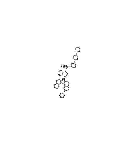 C1=CC2=C(C3N[C@@H]3c3cccc(-c4ccc(C5=CCCC=C5)cc4)c3)C=CC(n3c4ccc5ccccc5c4c4c5cc(-c6ccccc6)ccc5ccc43)C2C=C1